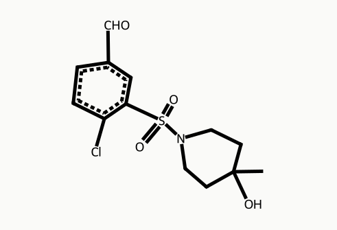 CC1(O)CCN(S(=O)(=O)c2cc(C=O)ccc2Cl)CC1